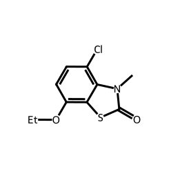 CCOc1ccc(Cl)c2c1sc(=O)n2C